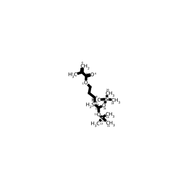 C=C(C)C(=O)OCCC[SiH2]C(O[Si](C)(C)C)O[Si](C)(C)C